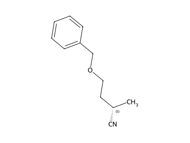 C[C@H](C#N)CCOCc1ccccc1